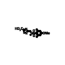 COc1cc(C)c(S(=O)(=O)N(C)Cc2nsc(C(=O)O)n2)c(C)c1